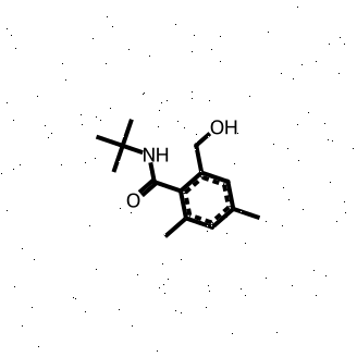 Cc1cc(C)c(C(=O)NC(C)(C)C)c(CO)c1